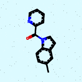 Cc1ccc2c(ccn2C(=O)c2ccccn2)c1